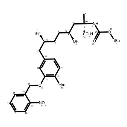 CC(C)[C@@H](CC[C@H](O)C[C@@](C)(NC(=O)OC(C)(C)C)C(=O)O)Cc1ccc(C(C)(C)C)c(OCc2ccccc2[N+](=O)[O-])c1